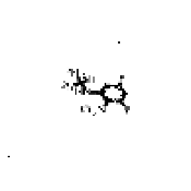 [2H]C([2H])([2H])Nc1cc(F)cc(F)c1[N+](=O)[O-]